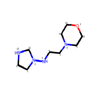 C1CN(NCCN2CCOCC2)CN1